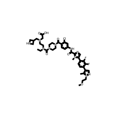 CCN(CCN(CC(=O)O)CC1CNC1)C(=O)N1CCN(C(=O)c2ccc(NC(=O)c3ncc(-c4ccc(-c5cnn(CCOC)c5C)c(F)c4F)n3C)cc2Cl)CC1